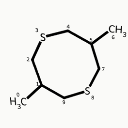 CC1CSCC(C)CSC1